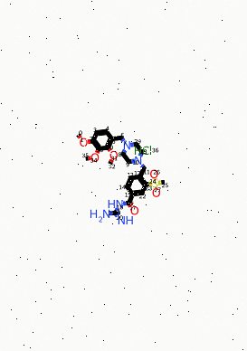 COc1ccc(CN2CCN(Cc3ccc(C(=O)NC(=N)N)cc3S(C)(=O)=O)CC2)c(OC)c1OC.Cl